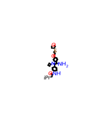 CC(C)CC(=O)Nc1ccc(-c2c(N)c3ccc(OCCSC4CCOC4)cc3n2C2CCC2)cc1